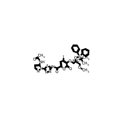 COCC(COc1c(I)cc(C(=O)Nc2nnc(-n3nccc3NC(C)=O)s2)oc1=O)O[Si](c1ccccc1)(c1ccccc1)C(C)(C)C